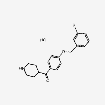 Cl.O=C(c1ccc(OCc2cccc(F)c2)cc1)C1CCNCC1